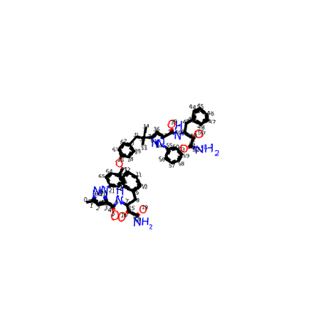 Cc1cc(C(=O)NC(Cc2ccccc2)C(=O)C(N)=O)n(-c2ccc(COc3ccc(CC(C)(C)c4cc(C(=O)NC(Cc5ccccc5)C(=O)C(N)=O)n(-c5ccccc5)n4)cc3)cc2)n1